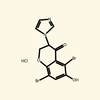 Cl.O=C1c2c(Br)c(O)cc(Br)c2OCC1n1ccnc1